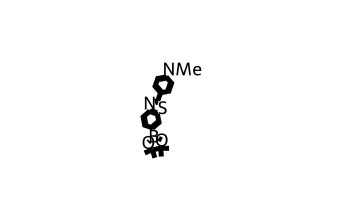 CNc1ccc(-c2nc3ccc(B4OC(C)(C)C(C)(C)O4)cc3s2)cc1